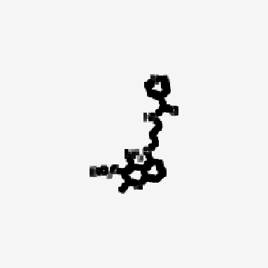 CCOC(=O)c1c(C)nc2cccc(OCCCNC(=O)c3ccncc3)c2c1N